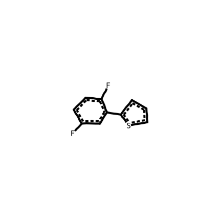 Fc1ccc(F)c(-c2cccs2)c1